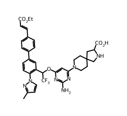 CCOC(=O)/C=C/c1ccc(-c2ccc(-n3ccc(C)n3)c(C(Oc3cc(N4CCC5(CC4)CNC(C(=O)O)C5)nc(N)n3)C(F)(F)F)c2)cc1